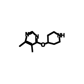 Cc1ncnc(OC2CCNCC2)c1C